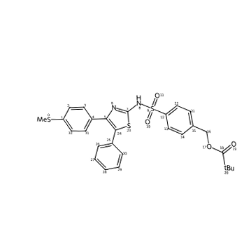 CSc1ccc(-c2nc(NS(=O)(=O)c3ccc(COC(=O)C(C)(C)C)cc3)sc2-c2ccccc2)cc1